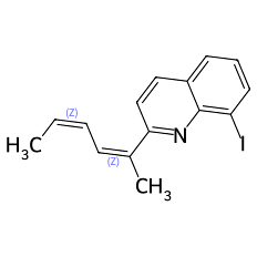 C/C=C\C=C(\C)c1ccc2cccc(I)c2n1